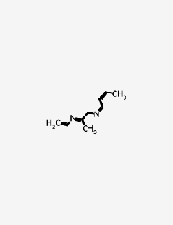 C=C/N=C(\C)C/N=C\C=C/C